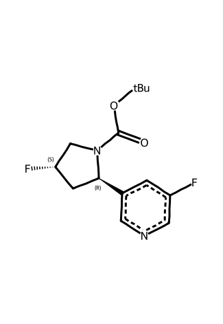 CC(C)(C)OC(=O)N1C[C@@H](F)C[C@@H]1c1cncc(F)c1